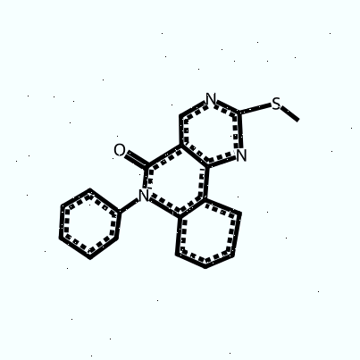 CSc1ncc2c(=O)n(-c3ccccc3)c3ccccc3c2n1